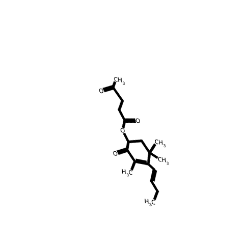 CC/C=C/C1=C(C)C(=O)C(OC(=O)CCC(C)=O)CC1(C)C